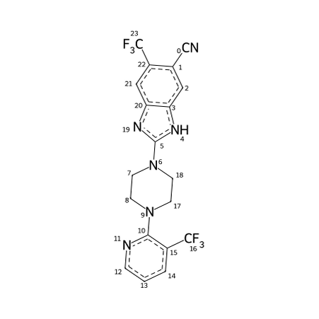 N#Cc1cc2[nH]c(N3CCN(c4ncccc4C(F)(F)F)CC3)nc2cc1C(F)(F)F